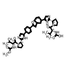 COC(=O)N[C@@H](C(=O)N1CCC[C@H]1c1ncc(-c2ccc(-c3cc4cc(-c5cnc([C@@H]6CCCN6C(=O)[C@H](NC(=O)O)C(C)C)[nH]5)ccc4o3)cc2)[nH]1)C(C)C